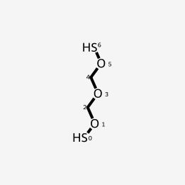 SOCOCOS